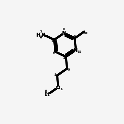 [CH2]COCCc1cc(N)nc(C)n1